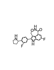 O=C1NOCc2c(-c3ccc(C4CCCN4)c(F)c3)[nH]c3cc(F)cc1c23